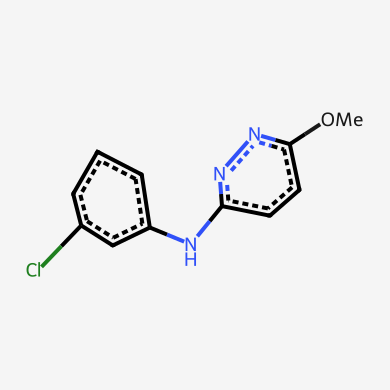 COc1ccc(Nc2cccc(Cl)c2)nn1